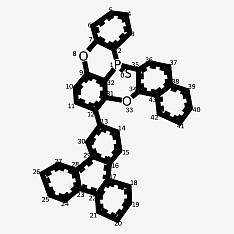 S=P12c3ccccc3Oc3ccc(-c4ccc5c6ccccc6c6ccccc6c5c4)c(c31)Oc1c2ccc2ccccc12